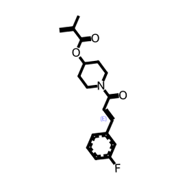 C=C(C)C(=O)OC1CCN(C(=O)/C=C/c2cccc(F)c2)CC1